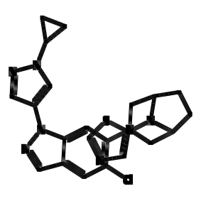 Clc1cc2cnn(-c3cnn(C4CC4)c3)c2cc1N1CC2CCC(C1)N2c1cncs1